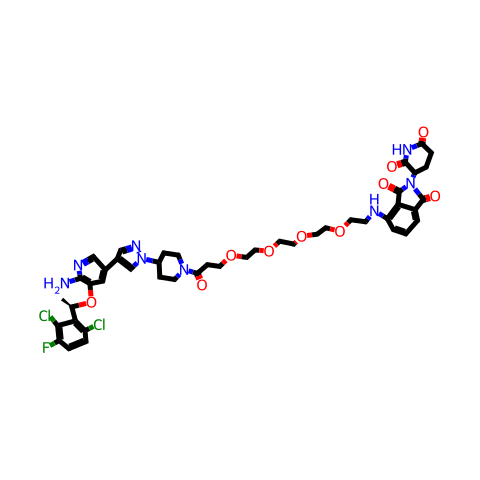 C[C@@H](Oc1cc(-c2cnn(C3CCN(C(=O)CCOCCOCCOCCOCCNc4cccc5c4C(=O)N(C4CCC(=O)NC4=O)C5=O)CC3)c2)cnc1N)c1c(Cl)ccc(F)c1Cl